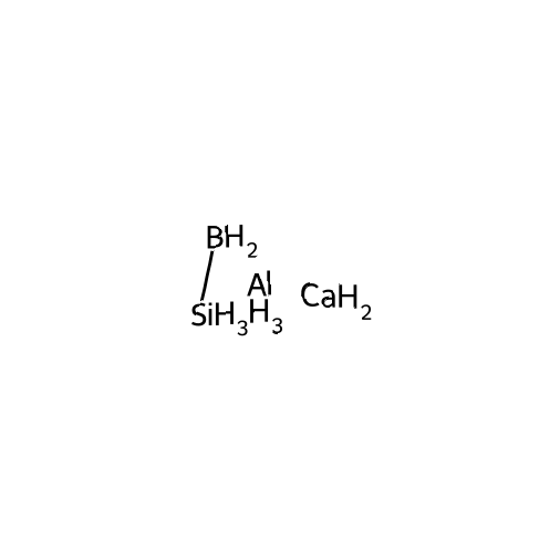 B[SiH3].[AlH3].[CaH2]